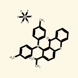 Cc1ccc([S+](c2ccc(C)cc2)c2c(C(C)C)ccc3sc4ccccc4c(=O)c23)cc1.[F][Sb-]([F])([F])([F])([F])[F]